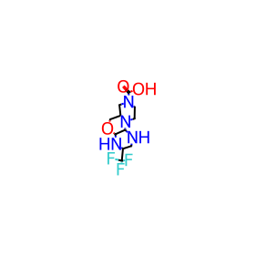 O=C(O)N1CCN2C(COC3NC(C(F)(F)F)CNC32)C1